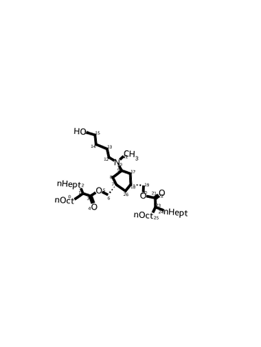 CCCCCCCCC(CCCCCCC)C(=O)OC[C@@H]1CC(N(C)CCCCO)C[C@H](COC(=O)C(CCCCCCC)CCCCCCCC)C1